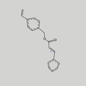 C=Cc1ccc(COC(=O)/C=C/c2ccccc2)cc1